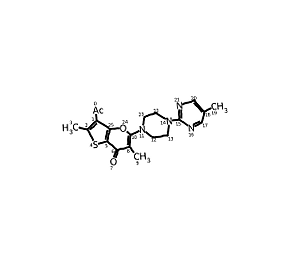 CC(=O)c1c(C)sc2c(=O)c(C)c(N3CCN(c4ncc(C)cn4)CC3)oc12